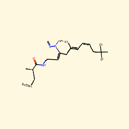 C=NN(CCC)/C(=C\CNC(=O)[C@H](C)CNC(C)=O)C/C(=C/C=C\CC(C)(CC)CC)CC